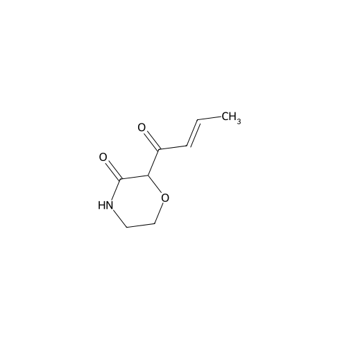 CC=CC(=O)C1OCCNC1=O